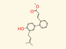 COC(=O)/C=C/c1ccccc1-c1ccc(O)c(CC=C(C)C)c1